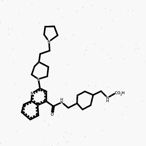 O=C(O)NCC1CCC(CNC(=O)c2cc(N3CCC(CCN4CCCC4)CC3)nc3ccccc23)CC1